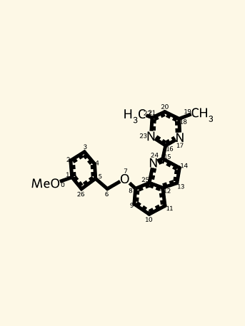 COc1cccc(COc2cccc3ccc(-c4nc(C)cc(C)n4)nc23)c1